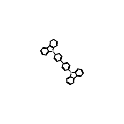 C1=Cc2c(c3ccccc3n2C2C=CC(c3ccc(-n4c5ccccc5c5ccccc54)cc3)=CC2)CC1